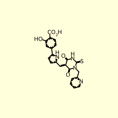 O=C1NC(=S)N(Cc2ccccn2)C(=O)C1=Cc1ccc(-c2ccc(C(=O)O)c(O)c2)[nH]1